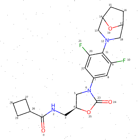 O=C(NC[C@H]1CN(c2cc(F)c(N3CC4CCC(C3)O4)c(F)c2)C(=O)O1)C1CCC1